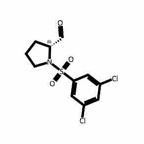 O=C[C@H]1CCCN1S(=O)(=O)c1cc(Cl)cc(Cl)c1